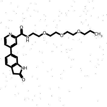 CCCOCCOCCOCCNC(=O)c1cc(-c2ccc3c(c2)NC(=O)C3)ccn1